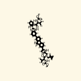 COC(=O)N[C@H](C(=O)N(Cc1ncc(-c2ccc3c(c2)C(F)(F)c2cc(-c4ccc5nc([C@@H]6[C@H]7CCC(C7)N6C(=O)[C@@H](NC(=O)OC)C(C)C)[nH]c5c4)ccc2-3)[nH]1)CC1(C)CC1)C(C)C